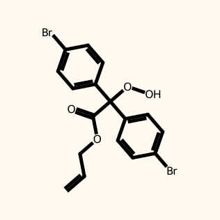 C=CCOC(=O)C(OO)(c1ccc(Br)cc1)c1ccc(Br)cc1